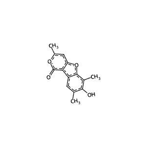 Cc1cc2oc3c(C)c(O)c(C)cc3c2c(=O)o1